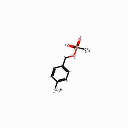 O=S(=O)(O)c1ccc(COS(=O)(=O)C(F)(F)F)cc1